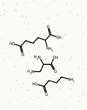 NC(CCCC(=O)O)C(=O)O.NCC(N)C(=O)O.NCCCC(=O)O